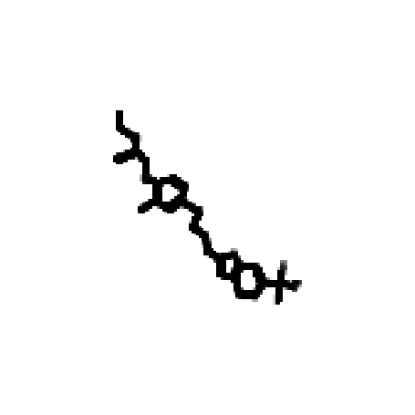 CCOC(=O)COc1ccc(SCCCc2cc3ccc(C(F)(F)F)cc3s2)cc1C